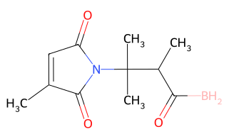 BC(=O)C(C)C(C)(C)N1C(=O)C=C(C)C1=O